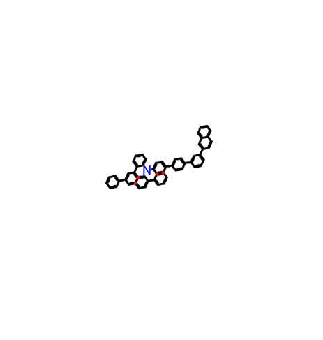 c1ccc(-c2cccc(-c3ccccc3N(c3ccc(-c4ccc(-c5cccc(-c6ccc7ccccc7c6)c5)cc4)cc3)c3ccccc3-c3ccccc3)c2)cc1